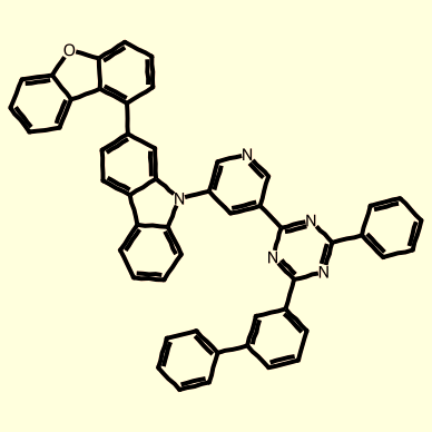 c1ccc(-c2cccc(-c3nc(-c4ccccc4)nc(-c4cncc(-n5c6ccccc6c6ccc(-c7cccc8oc9ccccc9c78)cc65)c4)n3)c2)cc1